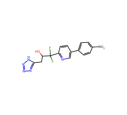 O=[N+]([O-])c1ccc(-c2ccc(C(F)(F)C(O)Cc3nnn[nH]3)nc2)cc1